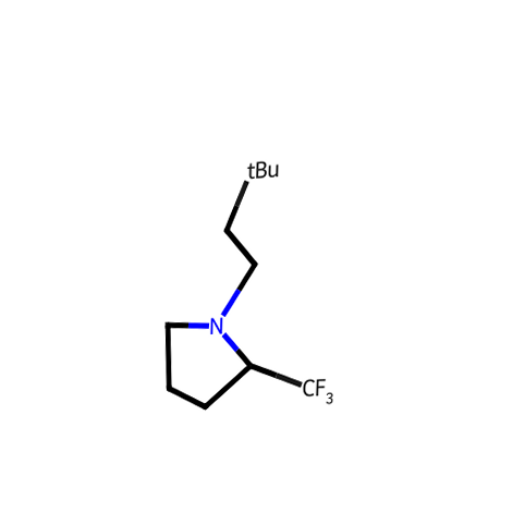 CC(C)(C)CCN1CCCC1C(F)(F)F